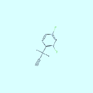 C#CC(C)(C)c1ccc(F)cc1F